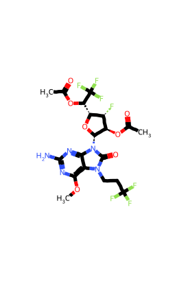 COc1nc(N)nc2c1n(CCC(F)(F)F)c(=O)n2[C@@H]1O[C@H](C(OC(C)=O)C(F)(F)F)[C@H](F)[C@H]1OC(C)=O